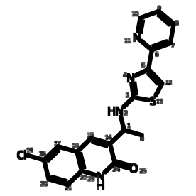 CC(Nc1nc(-c2ccccn2)cs1)c1cc2cc(Cl)ccc2[nH]c1=O